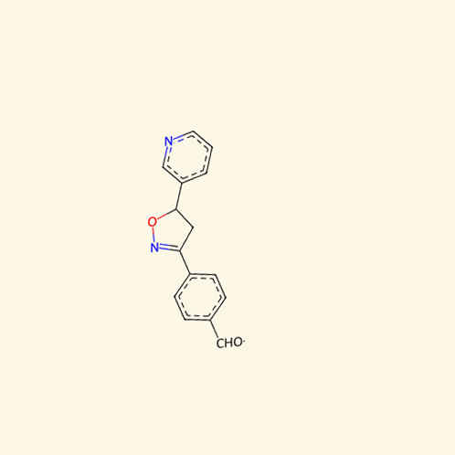 O=[C]c1ccc(C2=NOC(c3cccnc3)C2)cc1